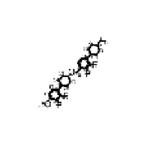 CCC1CCC(c2ccc(COC3CCC(c4ccc(OC)c(F)c4F)CC3)c(F)c2F)CC1